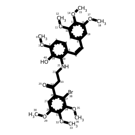 COc1ccc(/C=C\c2cc(OC)c(OC)c(OC)c2)c(NCCC(=O)c2cc(OC)c(OC)c(OC)c2Br)c1O